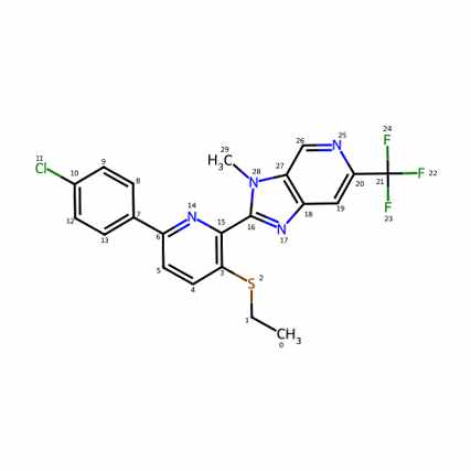 CCSc1ccc(-c2ccc(Cl)cc2)nc1-c1nc2cc(C(F)(F)F)ncc2n1C